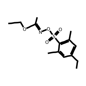 CCO/C(C)=N/OS(=O)(=O)c1c(C)cc(CC)cc1C